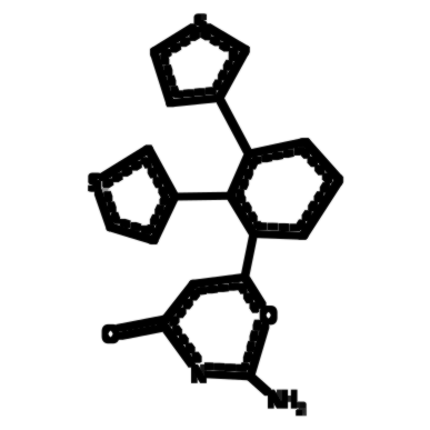 Nc1nc(=O)cc(-c2cccc(-c3ccsc3)c2-c2ccsc2)o1